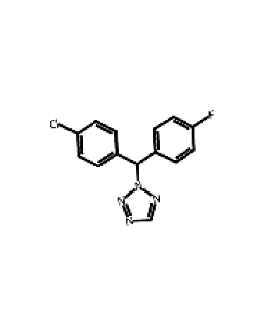 Fc1ccc(C(c2ccc(Cl)cc2)n2ncnn2)cc1